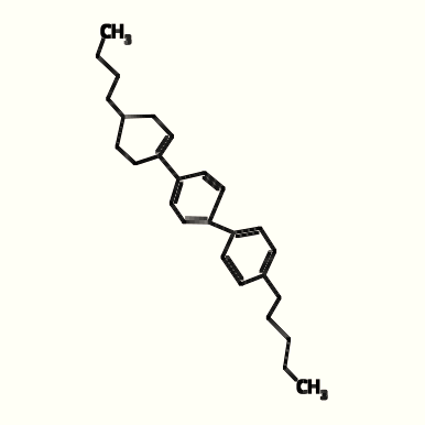 CCCCCc1ccc(-c2ccc(C3=CCC(CCCC)CC3)cc2)cc1